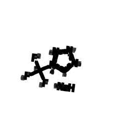 FC(F)(F)n1cnnn1.[NaH]